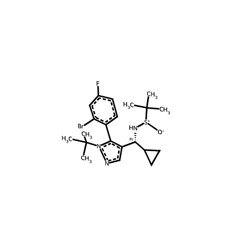 CC(C)(C)n1ncc([C@H](N[S+]([O-])C(C)(C)C)C2CC2)c1-c1ccc(F)cc1Br